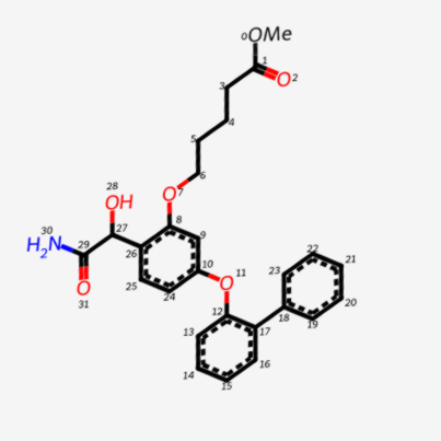 COC(=O)CCCCOc1cc(Oc2ccccc2-c2ccccc2)ccc1C(O)C(N)=O